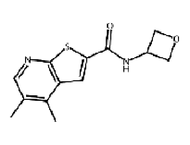 Cc1cnc2sc(C(=O)NC3COC3)cc2c1C